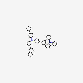 c1ccc(-c2ccc(N(c3ccc(-c4cccc(-c5ccccc5-n5c6ccccc6c6ccccc65)c4)cc3)c3cccc(-c4ccc5ccccc5c4)c3)cc2)cc1